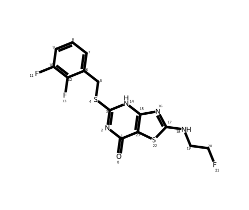 O=c1nc(SCc2cccc(F)c2F)[nH]c2nc(NCCF)sc12